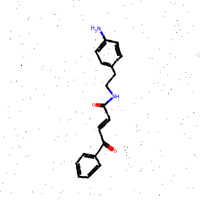 Nc1ccc(CCNC(=O)/C=C/C(=O)c2ccccc2)cc1